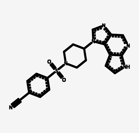 N#Cc1ccc(S(=O)(=O)N2CCC(n3cnc4cnc5[nH]ccc5c43)CC2)cc1